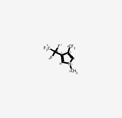 Cn1cc(C(F)(F)F)c(C(F)(F)C(F)(F)F)c1